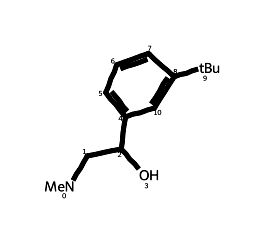 CNCC(O)c1cccc(C(C)(C)C)c1